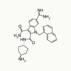 N=C(N)c1ccc2c(C(N)=O)c(C(=O)N[C@H]3CC[C@H](N)CC3)n(Cc3cccc4ccccc34)c2c1